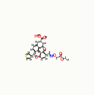 CCOC(=O)CO/N=C/c1ccc(OCc2ccsc2)cc1OC(CCC(=O)O)c1ccccc1C